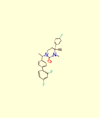 C#CC1(c2ccc(F)cc2)CCN(C(C)c2ccc(-c3ccc(F)cc3F)cc2)C(=O)N1C